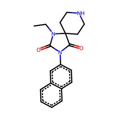 CCN1C(=O)N(c2ccc3ccccc3c2)C(=O)C12CCNCC2